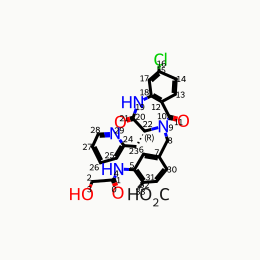 O=C(CO)Nc1cc(CN2C(=O)c3ccc(Cl)cc3NC(=O)[C@H]2Cc2ccccn2)ccc1C(=O)O